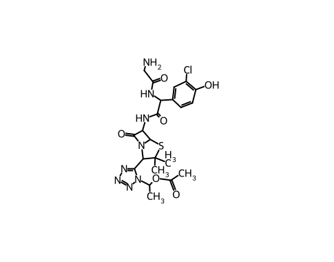 CC(=O)OC(C)n1nnnc1C1N2C(=O)C(NC(=O)C(NC(=O)CN)c3ccc(O)c(Cl)c3)C2SC1(C)C